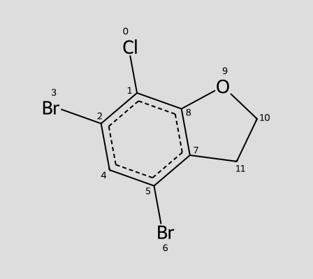 Clc1c(Br)cc(Br)c2c1OCC2